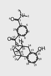 CN(C)C(=O)c1cccc(C(=O)N2CCC3(C)c4cccc(O)c4C[C@@H]2C3(C)C)c1